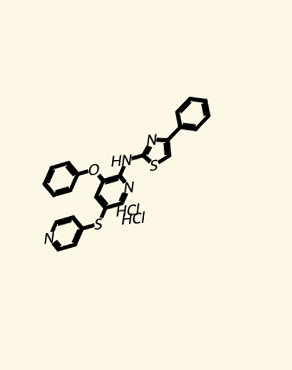 Cl.Cl.c1ccc(Oc2cc(Sc3ccncc3)cnc2Nc2nc(-c3ccccc3)cs2)cc1